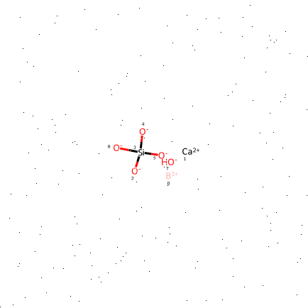 [B+3].[Ca+2].[O-][Si]([O-])([O-])[O-].[OH-]